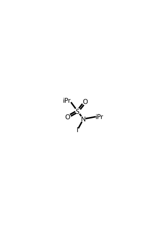 CC(C)N(I)S(=O)(=O)C(C)C